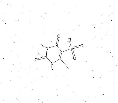 Cc1[nH]c(=O)n(C)c(=O)c1S(=O)(=O)Cl